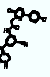 C[C@@H]1CN(C(=O)c2cc(C#N)cc(NC(=O)Cn3nc(-c4ccc(Cl)cc4)ccc3=O)c2)CCN1